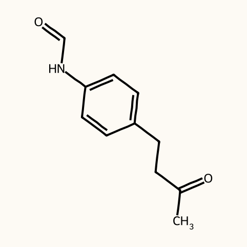 CC(=O)CCc1ccc(NC=O)cc1